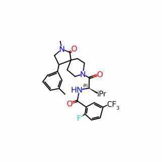 Cc1cccc(C2CN(C)C(=O)C23CCN(C(=O)[C@H](NC(=O)c2cc(C(F)(F)F)ccc2F)C(C)C)CC3)c1